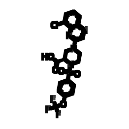 O=C(O)[C@H]1CN(c2cnc3cccc(Cl)c3n2)CCN1S(=O)(=O)c1ccc(OC(F)(F)F)cc1